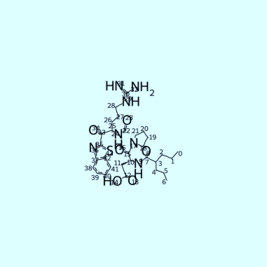 CCCC(CCC)C(=O)N[C@@H](CC(=O)O)C(=O)N1CCC[C@H]1C(=O)NC(CCCNC(=N)N)C(=O)c1nc2ccccc2s1